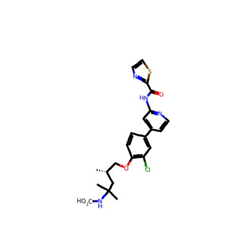 C[C@H](COc1ccc(-c2ccnc(NC(=O)c3nccs3)c2)cc1Cl)CC(C)(C)NC(=O)O